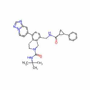 CC(C)(C)NC(=O)N1CCc2c(-c3ccn4ncnc4c3)ccc(CNC(=O)C3CC3c3ccccc3)c2C1